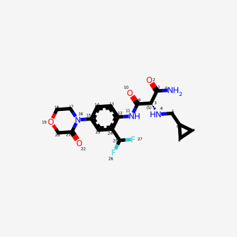 NC(=O)[C@H](NCC1CC1)C(=O)Nc1ccc(N2CCOCC2=O)cc1C(F)F